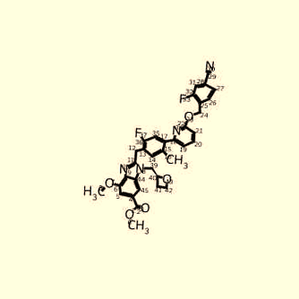 COC(=O)c1cc(OC)c2nc(Cc3cc(C)c(-c4cccc(OCc5ccc(C#N)cc5F)n4)cc3F)n(C[C@@H]3CCO3)c2c1